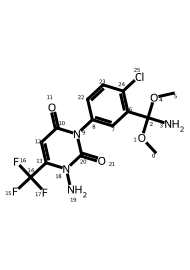 COC(N)(OC)c1cc(-n2c(=O)cc(C(F)(F)F)n(N)c2=O)ccc1Cl